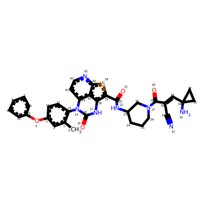 Cc1cc(Oc2ccccc2)ccc1N1C(=O)Nc2c(C(=O)NC3CCCN(C(=O)C(C#N)=CC4(N)CC4)C3)sc3nccc1c23